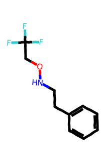 FC(F)(F)CONCCc1ccccc1